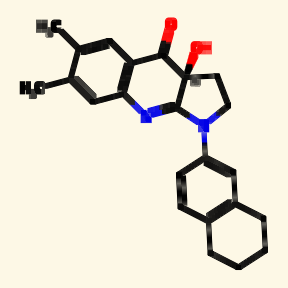 Cc1cc2c(cc1C)C(=O)[C@]1(O)CCN(c3ccc4c(c3)CCCC4)C1=N2